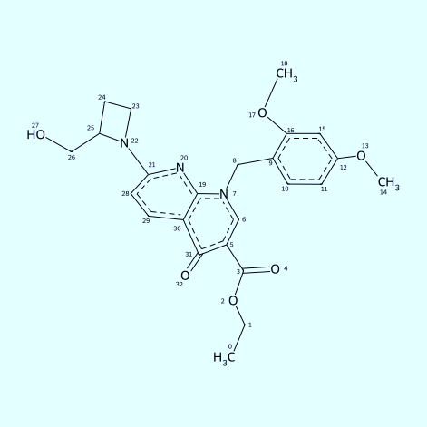 CCOC(=O)c1cn(Cc2ccc(OC)cc2OC)c2nc(N3CCC3CO)ccc2c1=O